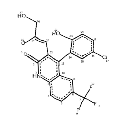 O=c1[nH]c2ccc(C(F)(F)F)cc2c(-c2cc(Cl)ccc2O)c1C=C(Cl)CO